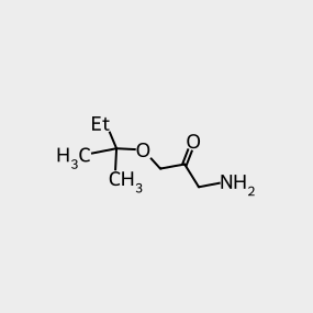 CCC(C)(C)OCC(=O)CN